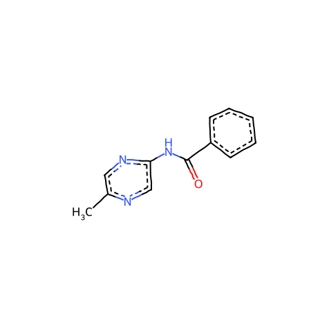 Cc1cnc(NC(=O)c2ccccc2)cn1